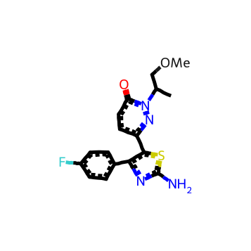 COCC(C)n1nc(-c2sc(N)nc2-c2ccc(F)cc2)ccc1=O